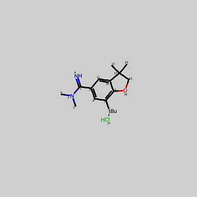 CN(C)C(=N)c1cc(C(C)(C)C)c2c(c1)C(C)(C)CO2.Cl